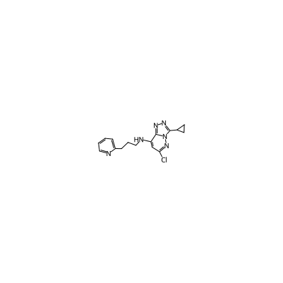 Clc1cc(NCCCc2ccccn2)c2nnc(C3CC3)n2n1